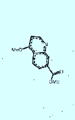 COC(=O)c1ccc2c(OC)ccnc2c1